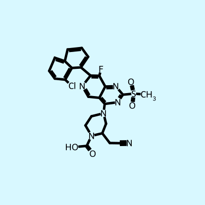 CS(=O)(=O)c1nc(N2CCN(C(=O)O)C(CC#N)C2)c2cnc(-c3cccc4cccc(Cl)c34)c(F)c2n1